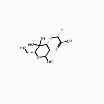 C[C@@H](O[C@@H]1CC(O)O[C@H](CO)[C@]1(O)S)C(=O)O